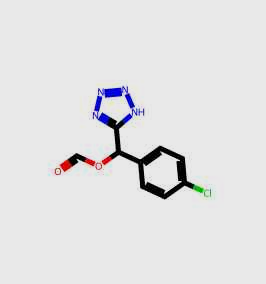 O=[C]OC(c1ccc(Cl)cc1)c1nnn[nH]1